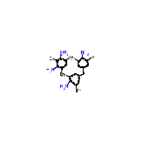 CC(C)c1cc(Cc2cc(C(C)C)c(N)c(C(C)C)c2)cc(C(C)C)c1N.CCc1cc(CC)c(N)c(CC)c1N